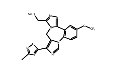 COCc1nnc2n1Cc1c(-c3nc(C)no3)ncn1-c1ccc(OC(F)(F)F)cc1-2